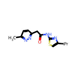 Cc1ccc(CC(=O)Nc2nc(C(C)C)cs2)nn1